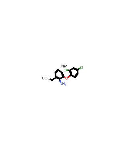 Nc1c(CC(=O)[O-])cccc1Oc1ccc(Cl)cc1Cl.[Na+]